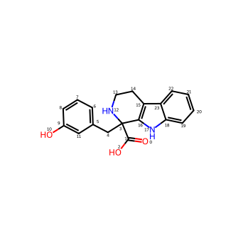 O=C(O)C1(Cc2cccc(O)c2)NCCc2c1[nH]c1ccccc21